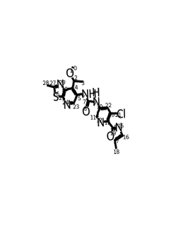 COC(C)c1c(NC(=O)Nc2cnc(-c3ncc(C)o3)c(Cl)c2)cnc2sc(C)nc12